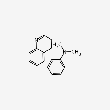 CN(C)c1ccccc1.c1ccc2ncccc2c1